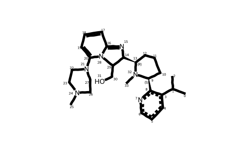 CC(C)c1cccnc1[C@@H]1CCC[C@H](C2N=C3C=CC=C(N4CCN(C)CC4)N3C2CO)N1C